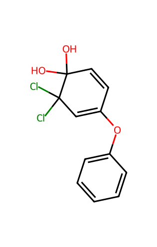 OC1(O)C=CC(Oc2ccccc2)=CC1(Cl)Cl